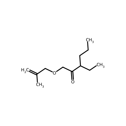 C=C(C)COCC(=O)C(CC)CCC